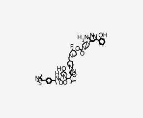 Cc1ncsc1-c1ccc([C@H](C)NC(=O)[C@@H]2C[C@@H](O)CN2C(=O)[C@@H](c2cc(N3CCC(CN4CC[C@@H](OC(=O)N5CCN(c6cc(-c7ccccc7O)nnc6N)CC5)[C@@H](F)C4)CC3)no2)C(C)C)cc1